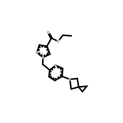 CCOC(=O)c1cnn(Cc2ccc(N3CC4(CC4)C3)cn2)c1